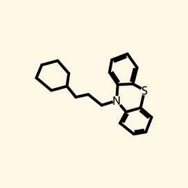 c1ccc2c(c1)Sc1ccccc1N2CCCC1CCCCC1